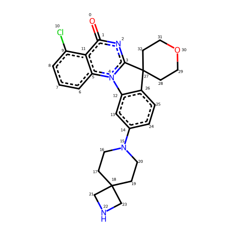 O=c1nc2n(c3cccc(Cl)c13)-c1cc(N3CCC4(CC3)CNC4)ccc1C21CCOCC1